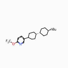 CCCC[C@H]1CC[C@H](C2CCC(c3ccc(OC(F)(F)F)nc3)CC2)CC1